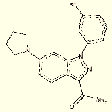 NC(=O)c1nn(-c2cccc(Br)c2)c2cc(N3CCCC3)ncc12